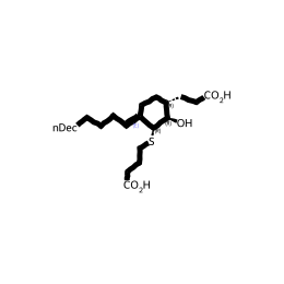 CCCCCCCCCCCCC/C=C1\CC[C@H](CCC(=O)O)[C@@H](O)[C@@H]1SCCCC(=O)O